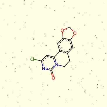 O=c1nc(Cl)cc2n1CCc1cc3c(cc1-2)OCO3